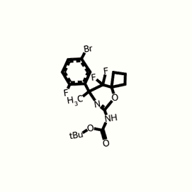 CC(C)(C)OC(=O)NC1=NC(C)(c2cc(Br)ccc2F)C(F)(F)C2(CCC2)O1